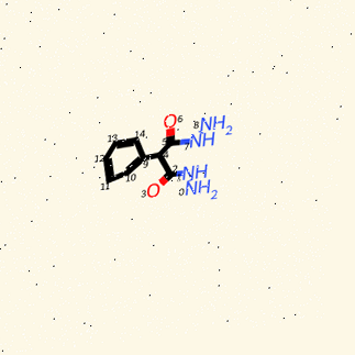 NNC(=O)C(C(=O)NN)c1ccccc1